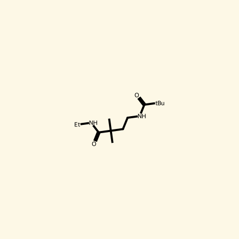 CCNC(=O)C(C)(C)CCNC(=O)C(C)(C)C